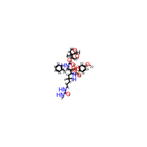 CNC(=O)NCCCC(C)(C)CC(NS(=O)(=O)c1ccc(OC)cc1)[C@H](O)[C@H](Cc1ccccc1)NC(=O)O[C@H]1CO[C@H]2OCC[C@H]21